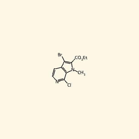 CCOC(=O)c1c(Br)c2ccnc(Cl)c2n1C